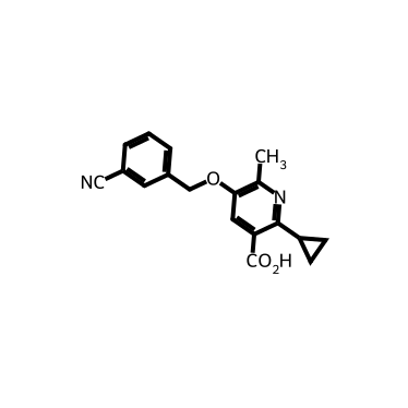 Cc1nc(C2CC2)c(C(=O)O)cc1OCc1cccc(C#N)c1